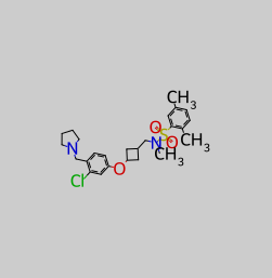 Cc1ccc(C)c(S(=O)(=O)N(C)CC2CC(Oc3ccc(CN4CCCC4)c(Cl)c3)C2)c1